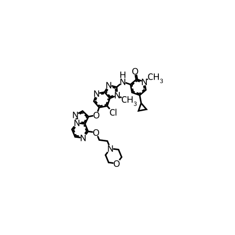 Cn1cc(C2CC2)cc(Nc2nc3ncc(Oc4cnn5ccnc(OCCN6CCOCC6)c45)c(Cl)c3n2C)c1=O